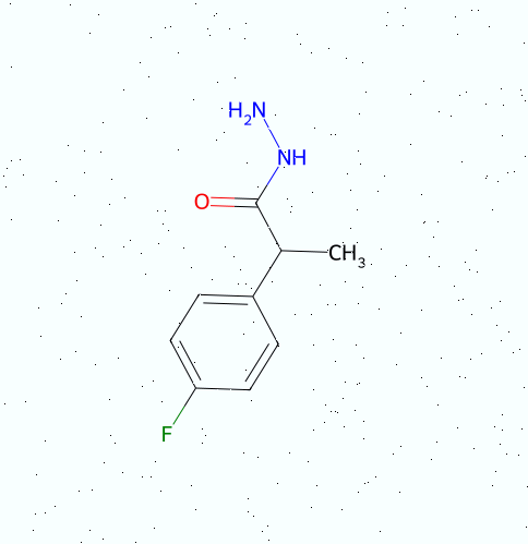 CC(C(=O)NN)c1ccc(F)cc1